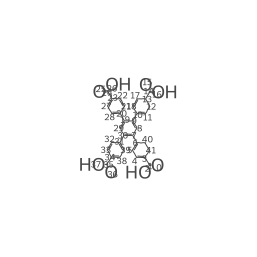 O=C(O)C1=CC=C(c2cc(C3=CCC(C(=O)O)C=C3)c(-c3ccc(C(=O)O)cc3)cc2-c2ccc(C(=O)O)cc2)CC1